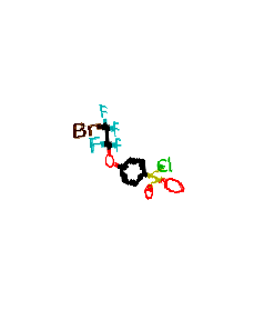 O=S(=O)(Cl)c1ccc(OC(F)(F)C(F)(F)Br)cc1